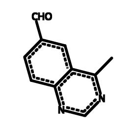 Cc1ncnc2ccc(C=O)cc12